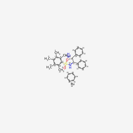 Cc1c(C)c(C)c(S(=O)(=O)N[C@H](c2ccccc2)[C@H](N)c2ccccc2)c(C)c1C.[Ru].c1ccccc1